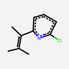 CC(C)=C(C)c1cccc(Cl)n1